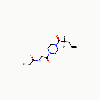 C=CCC(CC)(CC)C(=O)N1CCN(C(=O)CNC(=O)CBr)CC1